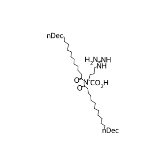 CCCCCCCCCCCCCCCCCCCCCC(=O)N(C(=O)CCCCCCCCCCCCCCCCCCCCC)C(CCCNC(=N)N)C(=O)O